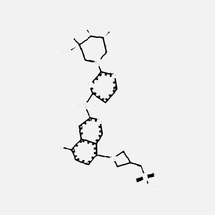 CC(C)c1ccc(N2CC(CS(C)(=O)=O)C2)c2cnc(Nc3ccnc(N4C[C@H](F)[C@H](O)[C@@](C)(F)C4)n3)cc12